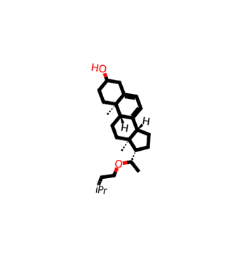 CC(C)CCOC(C)[C@H]1CC[C@H]2C3=CC=C4CC(O)CC[C@]4(C)[C@H]3CC[C@]12C